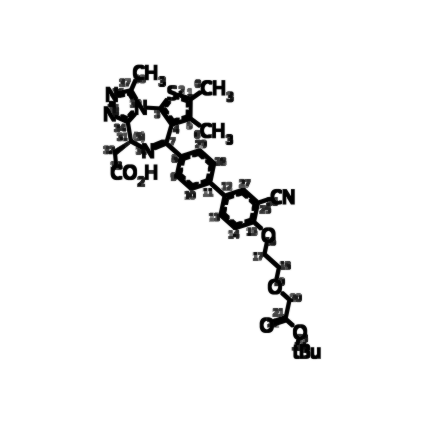 Cc1sc2c(c1C)C(c1ccc(-c3ccc(OCCOCC(=O)OC(C)(C)C)c(C#N)c3)cc1)=N[C@@H](CC(=O)O)c1nnc(C)n1-2